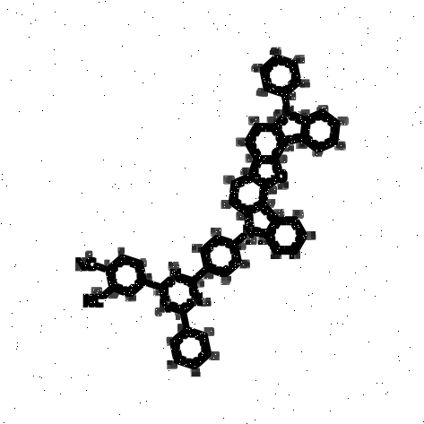 N#Cc1ccc(-c2nc(-c3ccccc3)nc(-c3ccc(-n4c5ccccc5c5c6oc7c(ccc8c7c7ccccc7n8-c7ccccc7)c6ccc54)cc3)n2)cc1C#N